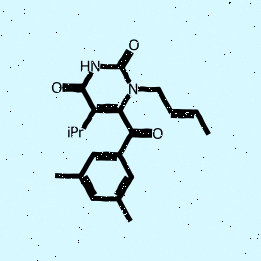 CC=CCn1c(C(=O)c2cc(C)cc(C)c2)c(C(C)C)c(=O)[nH]c1=O